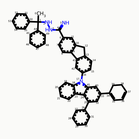 CC(NNC(=N)c1ccc2c(c1)Cc1ccc(-n3c4ccccc4c4c(-c5ccccc5)cc(C5=CC=CCC5)cc43)cc1-2)(c1ccccc1)c1ccccc1